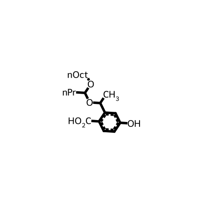 CCCCCCCCOC(CCC)OC(C)c1cc(O)ccc1C(=O)O